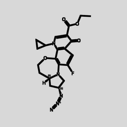 CCOC(=O)c1cn(C2CC2)c2c3c(c(F)cc2c1=O)N1C[C@@H](N=[N+]=[N-])C[C@@H]1CCO3